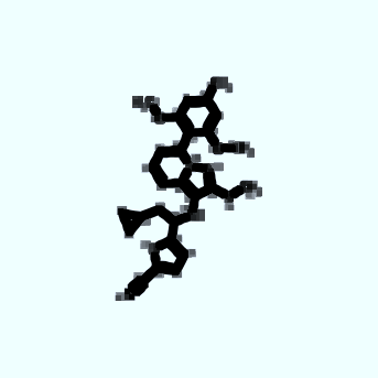 COc1cc(C)cc(OC)c1-c1cccc2c(NC(CC3CC3)c3ccc(C#N)o3)c(SC)nn12